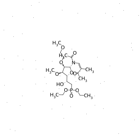 CCOP(=O)(C[C@H](O)[C@H]1O[C@@H](N(/C=C(/C)C(C)=O)C(C)=O)[C@H](OCCOC)[C@@H]1OC)OCC